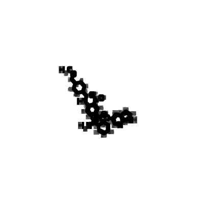 COCC1CCC(CNc2ccc(S(=O)(=O)C3(Oc4cnc5[nH]ccc5c4)C=CC=CC3C(N)=O)cc2[N+](=O)[O-])CC1